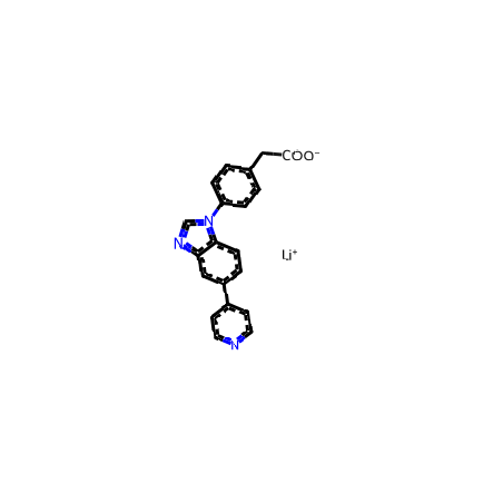 O=C([O-])Cc1ccc(-n2cnc3cc(-c4ccncc4)ccc32)cc1.[Li+]